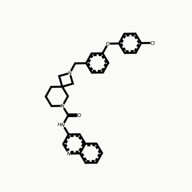 O=C(Nc1cnc2ccccc2c1)N1CCCC2(CN(Cc3cccc(Oc4ccc(Cl)cc4)c3)C2)C1